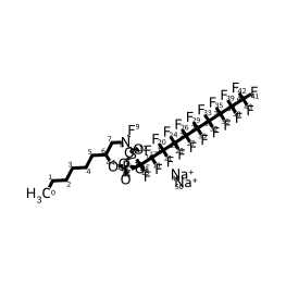 CCCCCCC(CN(F)S(=O)(=O)C(F)(F)C(F)(F)C(F)(F)C(F)(F)C(F)(F)C(F)(F)C(F)(F)C(F)(F)C(F)(F)C(F)(F)F)OP(=O)([O-])[O-].[Na+].[Na+]